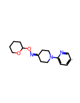 [c]1ccc(N2CCC(=NOC3CCCCO3)CC2)nc1